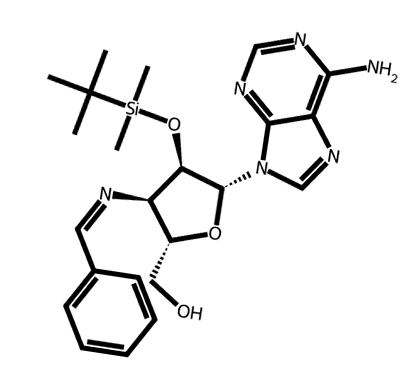 CC(C)(C)[Si](C)(C)O[C@@H]1[C@H](/N=C\c2ccccc2)[C@@H](CO)O[C@H]1n1cnc2c(N)ncnc21